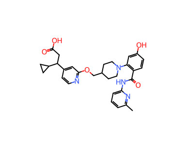 Cc1cccc(NC(=O)c2ccc(O)cc2N2CCC(COc3cc(C(CC(=O)O)C4CC4)ccn3)CC2)n1